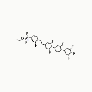 CCO/C(F)=C(\F)c1ccc(CCc2cc(F)c(-c3ccc(-c4cc(F)c(F)c(F)c4)c(F)c3)c(F)c2)c(F)c1